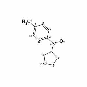 Cc1ccc([S+]([O-])C2CCOC2)cc1